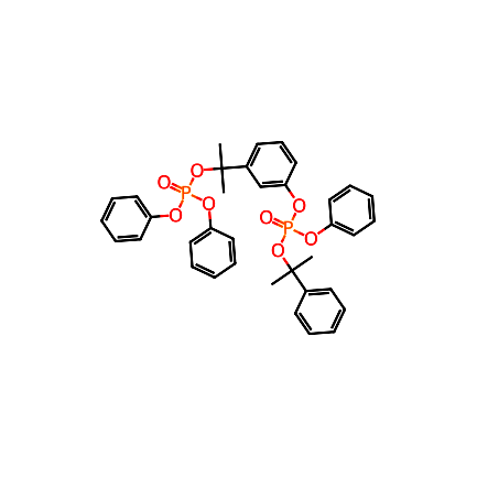 CC(C)(OP(=O)(Oc1ccccc1)Oc1cccc(C(C)(C)OP(=O)(Oc2ccccc2)Oc2ccccc2)c1)c1ccccc1